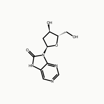 O=c1[nH]c2cncnc2n1[C@H]1C[C@@H](O)[C@H](CO)O1